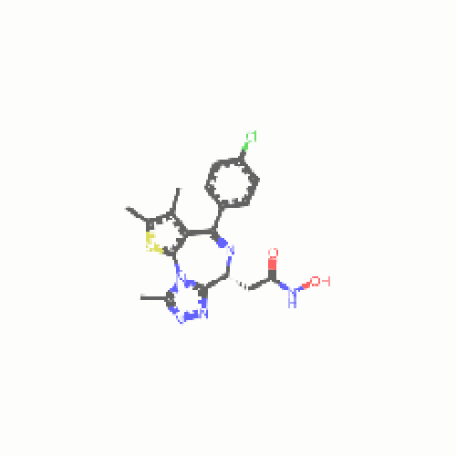 Cc1sc2c(c1C)C(c1ccc(Cl)cc1)=N[C@H](CC(=O)NO)c1nnc(C)n1-2